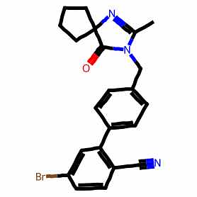 CC1=NC2(CCCC2)C(=O)N1Cc1ccc(-c2cc(Br)ccc2C#N)cc1